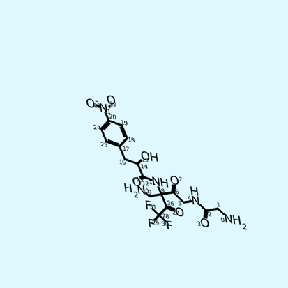 NCC(=O)NCC(=O)C(CN)(NC(=O)C(O)Cc1ccc([N+](=O)[O-])cc1)C(=O)C(F)(F)F